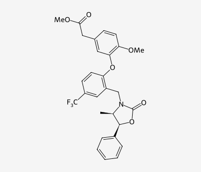 COC(=O)Cc1ccc(OC)c(Oc2ccc(C(F)(F)F)cc2CN2C(=O)O[C@@H](c3ccccc3)[C@H]2C)c1